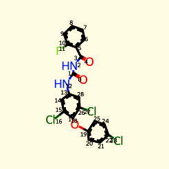 O=C(NC(=O)c1ccccc1F)Nc1cc(Cl)c(Oc2ccc(Cl)cc2)c(Cl)c1